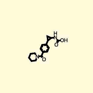 O=C(O)NC1CC1c1ccc(C(=O)N2CCCCC2)cc1